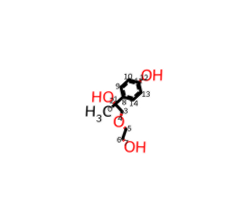 CC(O)(COCCO)c1ccc(O)cc1